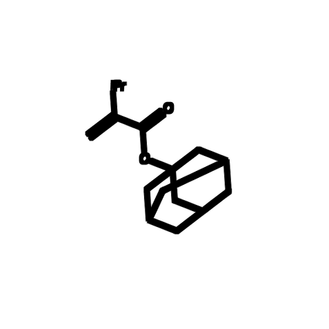 C=C(C(=O)OC12CC3CC(CC(C3)C1)C2)C(C)C